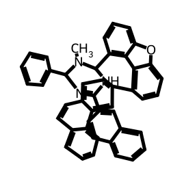 CN1C(c2ccccc2)N=C(c2ccc3ccccc3c2)NC1c1cccc2oc3cccc(-c4ccc5ccc6ccccc6c5c4)c3c12